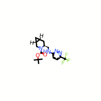 CC(C)(C)OC(=O)N1C[C@@H]2C[C@@H]2C[C@H]1CNc1ccc(C(F)(F)F)nn1